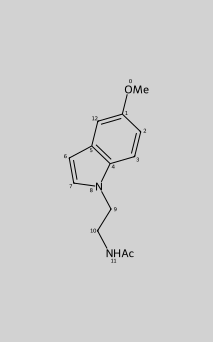 COc1ccc2c(ccn2CCNC(C)=O)c1